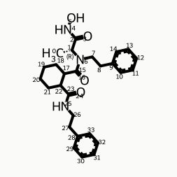 C[C@H](C(=O)NO)N(CCc1ccccc1)C(=O)C1CCCCC1C(=O)NCCc1ccccc1